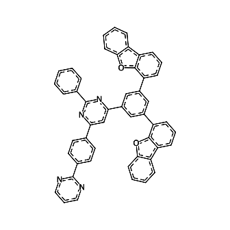 c1ccc(-c2nc(-c3ccc(-c4ncccn4)cc3)cc(-c3cc(-c4cccc5c4oc4ccccc45)cc(-c4cccc5c4oc4ccccc45)c3)n2)cc1